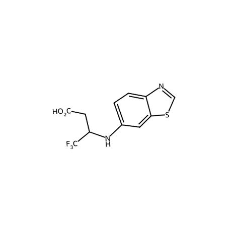 O=C(O)CC(Nc1ccc2ncsc2c1)C(F)(F)F